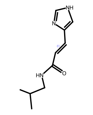 CC(C)CNC(=O)/C=C/c1c[nH]cn1